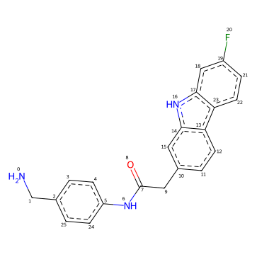 NCc1ccc(NC(=O)Cc2ccc3c(c2)[nH]c2cc(F)ccc23)cc1